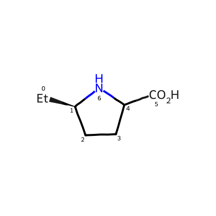 CC[C@@H]1CCC(C(=O)O)N1